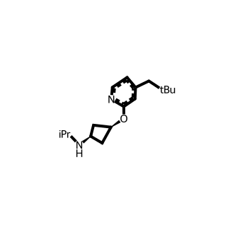 CC(C)N[C@H]1C[C@@H](Oc2cc(CC(C)(C)C)ccn2)C1